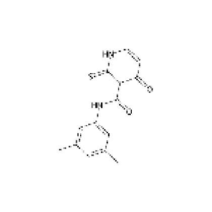 Cc1cc(C)cc(NC(=O)C2C(=O)C=CNC2=S)c1